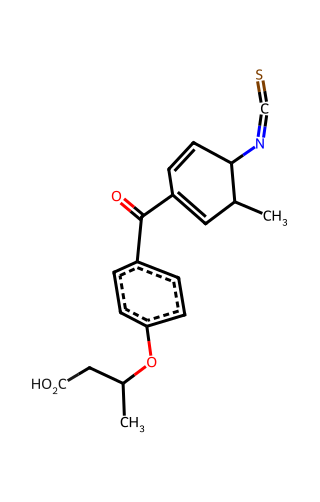 CC(CC(=O)O)Oc1ccc(C(=O)C2=CC(C)C(N=C=S)C=C2)cc1